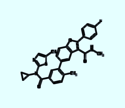 CNC(=O)c1c(-c2ccc(F)cc2)oc2ccc(-c3cc(C(=O)N(c4ncc(C)s4)C4CC4)ccc3C)cc12